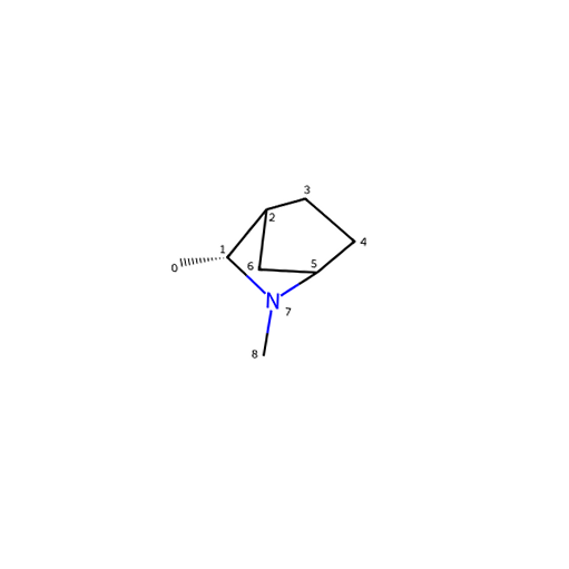 C[C@@H]1C2CCC(C2)N1C